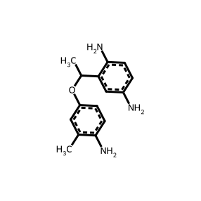 Cc1cc(OC(C)c2cc(N)ccc2N)ccc1N